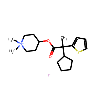 CC(C(=O)OC1CC[N+](C)(C)CC1)(c1cccs1)C1CCCC1.[I-]